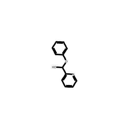 OC(Oc1ccccc1)c1ccccn1